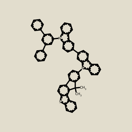 CC1(C)c2cc(-n3c4ccccc4c4ccc(-c5ccc6c(c5)c5ccccc5n6-c5cc(-c6ccccc6)cc(-c6ccccc6)c5)cc43)ccc2-c2ccc3sc4ccccc4c3c21